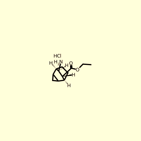 CCOC(=O)[C@H]1[C@H](N)[C@@H]2CC[C@H]1C1CC12.Cl